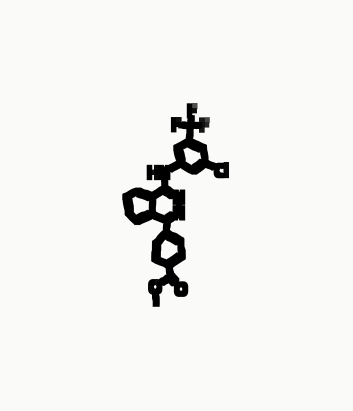 COC(=O)c1ccc(-c2nnc(Nc3cc(Cl)cc(C(F)(F)F)c3)c3ccccc23)cc1